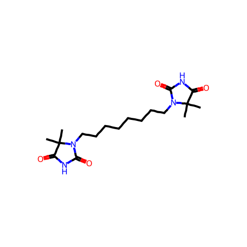 CC1(C)C(=O)NC(=O)N1CCCCCCCCN1C(=O)NC(=O)C1(C)C